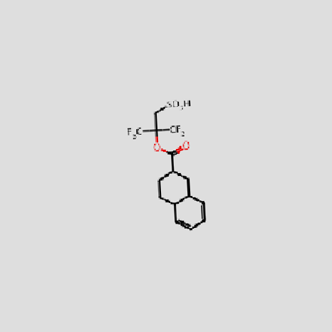 O=C(OC(CS(=O)(=O)O)(C(F)(F)F)C(F)(F)F)C1CCC2C=CC=CC2C1